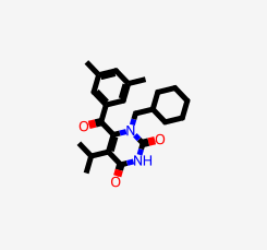 Cc1cc(C)cc(C(=O)c2c(C(C)C)c(=O)[nH]c(=O)n2CC2CCCCC2)c1